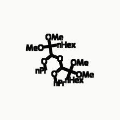 CCCCCCC(OC)(OC)C(OCCC)OC(OCCC)C(CCCCCC)(OC)OC